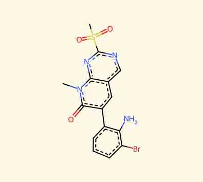 Cn1c(=O)c(-c2cccc(Br)c2N)cc2cnc(S(C)(=O)=O)nc21